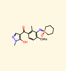 COc1ccc(C(=O)c2cnn(C)c2O)c(C)c1N=S1(=O)CCCCC1